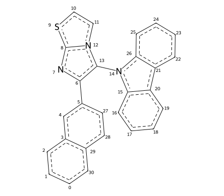 c1ccc2cc(-c3nc4sccn4c3-n3c4ccccc4c4ccccc43)ccc2c1